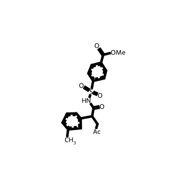 COC(=O)c1ccc(S(=O)(=O)NC(=O)C(CC(C)=O)c2cccc(C)c2)cc1